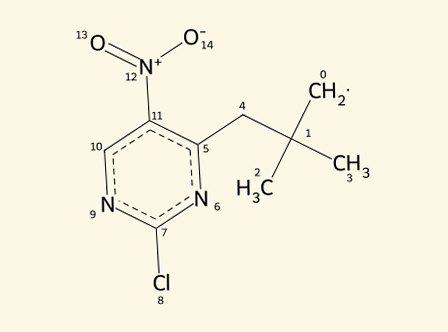 [CH2]C(C)(C)Cc1nc(Cl)ncc1[N+](=O)[O-]